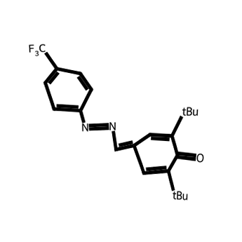 CC(C)(C)C1=CC(=CN=Nc2ccc(C(F)(F)F)cc2)C=C(C(C)(C)C)C1=O